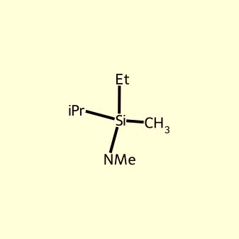 CC[Si](C)(NC)C(C)C